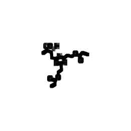 C=CC(=O)OCCc1nc(CCOC(=O)C=C)nc(CCC(=C)C(=O)O)n1